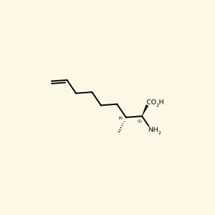 C=CCCCC[C@@H](C)[C@H](N)C(=O)O